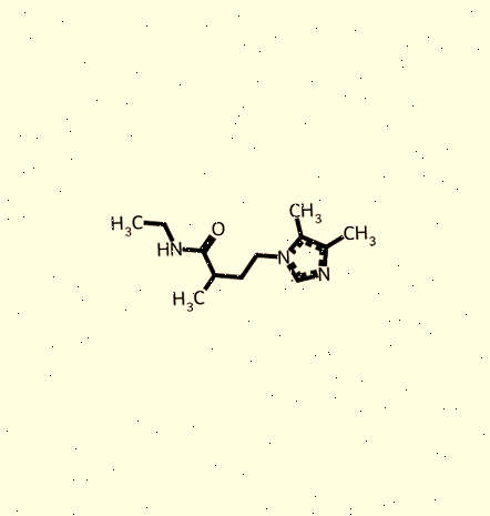 CCNC(=O)C(C)CCn1[c]nc(C)c1C